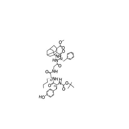 CCCC[C@@H](NC(=O)[C@H](Cc1ccc(O)cc1)NC(=O)OC(C)(C)C)C(=O)NCC(=O)N[C@@H](Cc1ccccc1)C(=O)C1C2(N)CC3CC(C2)CC1(C(=O)OC)C3